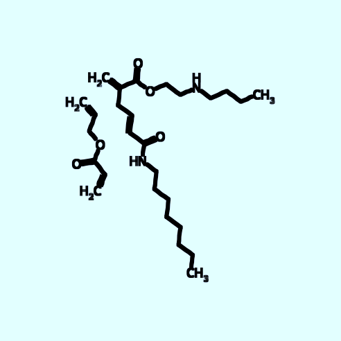 C=C(CC=CC(=O)NCCCCCCCC)C(=O)OCCNCCCC.C=CCOC(=O)C=C